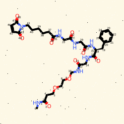 CNC(=O)CCOCCOCNC(=O)CNC(=O)[C@H](Cc1ccccc1)NC(=O)CNC(=O)CNC(=O)CCCCCN1C(=O)C=CC1=O